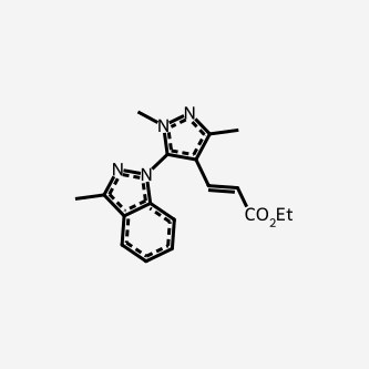 CCOC(=O)/C=C/c1c(C)nn(C)c1-n1nc(C)c2ccccc21